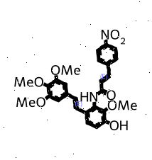 COc1cc(/C=C/c2ccc(O)c(OC)c2NC(=O)/C=C/c2ccc([N+](=O)[O-])cc2)cc(OC)c1OC